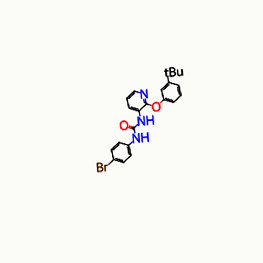 CC(C)(C)c1cccc(Oc2ncccc2NC(=O)Nc2ccc(Br)cc2)c1